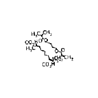 C=C(C)C(=O)OCCCCOC(=O)C(=C)C.CC(=CCCCCC=C(C)C(=O)O)C(=O)O